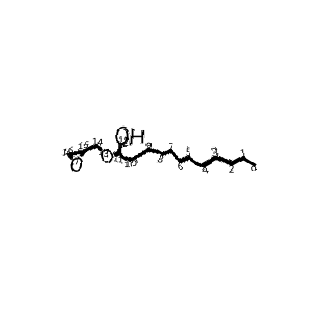 CCCCCCCCCCCC(O)OCC1CO1